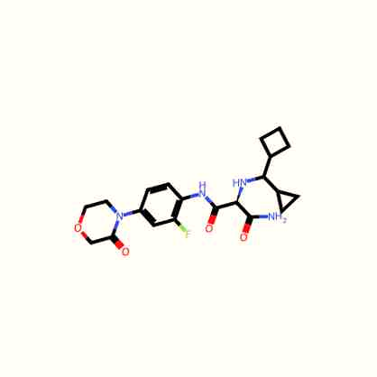 NC(=O)[C@H](NC(C1CCC1)C1CC1)C(=O)Nc1ccc(N2CCOCC2=O)cc1F